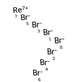 [Br-].[Br-].[Br-].[Br-].[Br-].[Br-].[Br-].[Re+7]